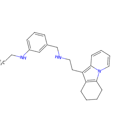 FC(F)(F)CNc1cccc(CNCCc2c3c(n4ccccc24)CCCC3)c1